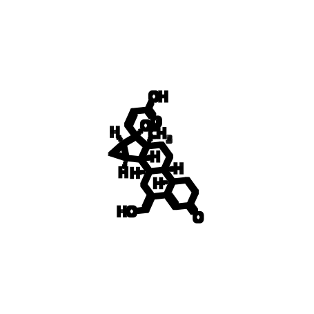 C[C@]12CC[C@H]3[C@@H](CC(=CO)C4=CC(=O)CC[C@@H]43)[C@@H]1[C@H]1C[C@H]1[C@@]2(O)/C=C\C(=O)O